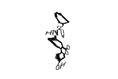 O=C(Nc1ccc2c(c1)c(=O)oc1cc(O)ccc12)OCc1ccccc1